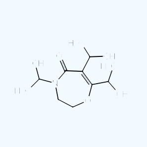 CC(C)C1=C(C(C)C)C(=O)N(C(C)C)CCO1